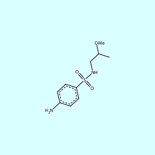 COC(C)CNS(=O)(=O)c1ccc(N)cc1